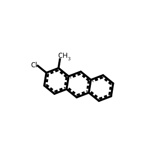 Cc1c(Cl)ccc2cc3ccccc3cc12